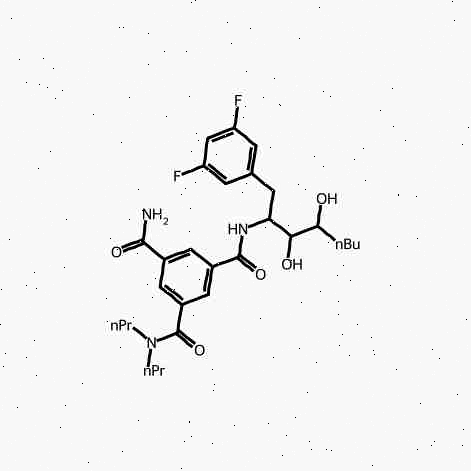 CCCCC(O)C(O)C(Cc1cc(F)cc(F)c1)NC(=O)c1cc(C(N)=O)cc(C(=O)N(CCC)CCC)c1